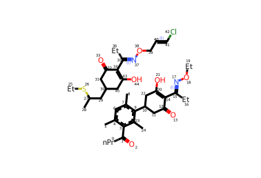 CCCC(=O)c1c(C)cc(C)c(C2CC(=O)C(/C(CC)=N/OCC)=C(O)C2)c1C.CCSC(C)CC1CC(=O)C(/C(CC)=N/OC/C=C/Cl)=C(O)C1